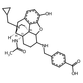 CC(=O)N[C@@]12CCC(NCc3ccc(C(=O)O)cc3)C3Oc4c(O)ccc5c4[C@@]31CCN(CC1CC1)[C@@H]2C5